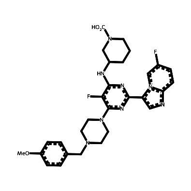 COc1ccc(CN2CCN(c3nc(-c4cnc5ccc(F)cn45)nc(NC4CCCN(C(=O)O)C4)c3F)CC2)cc1